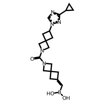 O=C(N1CC2(CC(=CB(O)O)C2)C1)N1CC2(CC(n3cnc(C4CC4)n3)C2)C1